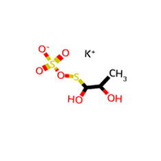 CC(O)C(O)SOS(=O)(=O)[O-].[K+]